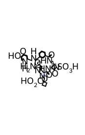 Nc1nc(/C(=N/OC2(C(=O)O)CCC2)C(=O)N[C@@H]2C(=O)N(S(=O)(=O)O)[C@@H]2CNC(=O)c2cccc(C(=O)NCc3cc(=O)c(O)c[nH]3)c2)cs1